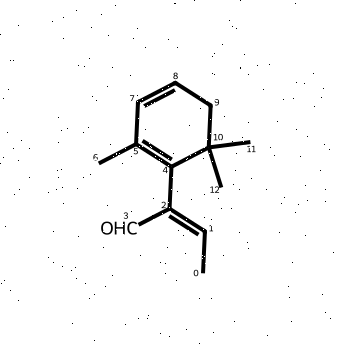 CC=C(C=O)C1=C(C)C=CCC1(C)C